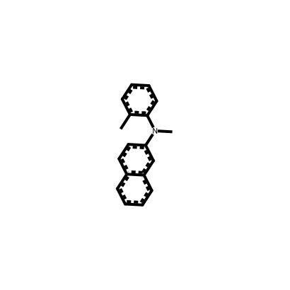 Cc1ccccc1N(C)c1ccc2ccccc2c1